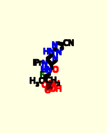 CC(C)Nc1cc(Nc2ncc(C#N)cn2)ncc1C(=O)NC[C@H](F)C(C)(C)OP(=O)(O)O